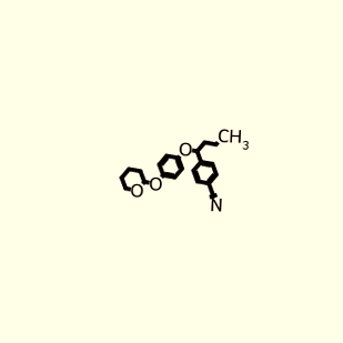 CCCC(Oc1ccc(OC2CCCCO2)cc1)c1ccc(C#N)cc1